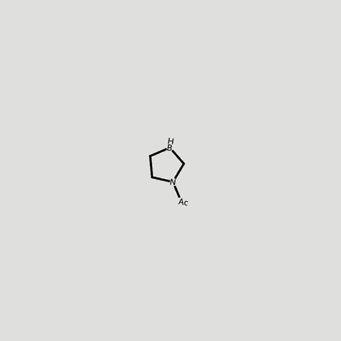 CC(=O)N1CBCC1